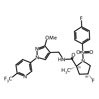 COc1nn(-c2ccc(C(F)(F)F)nc2)cc1CNC(=O)[C@]1(C)C[C@@H](F)CN1S(=O)(=O)c1ccc(F)cc1